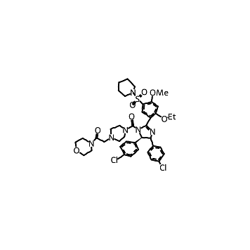 CCOc1cc(OC)c(S(=O)(=O)N2CCCCC2)cc1C1=NC(c2ccc(Cl)cc2)[C@@H](c2ccc(Cl)cc2)N1C(=O)N1CCN(CC(=O)N2CCOCC2)CC1